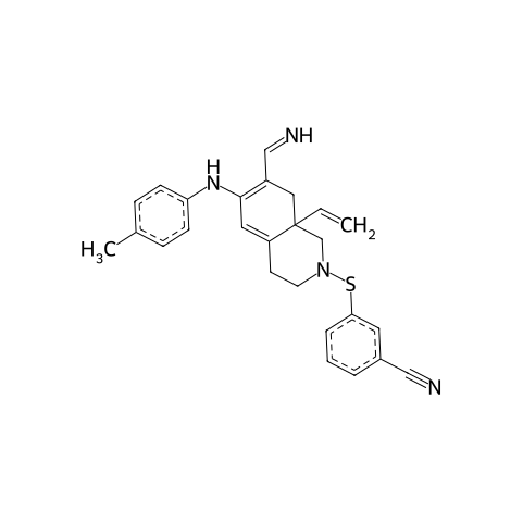 C=CC12CC(C=N)=C(Nc3ccc(C)cc3)C=C1CCN(Sc1cccc(C#N)c1)C2